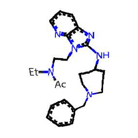 CCN(CCn1c(NC2CCN(Cc3ccccc3)CC2)nc2cccnc21)C(C)=O